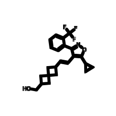 OCC1CC2(CC(C=Cc3c(-c4ccccc4C(F)(F)F)noc3C3CC3)C2)C1